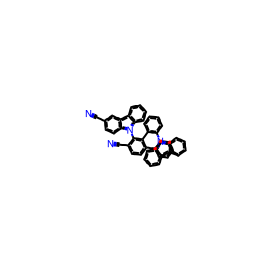 N#Cc1ccc2c(c1)c1ccccc1n2-c1c(C#N)ccc(-c2ccccc2)c1-c1ccccc1-n1c2ccccc2c2ccccc21